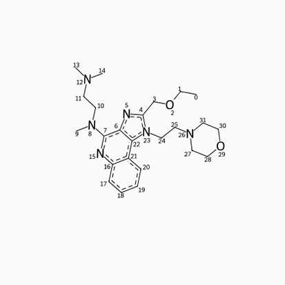 CCOCc1nc2c(N(C)CCN(C)C)nc3ccccc3c2n1CCN1CCOCC1